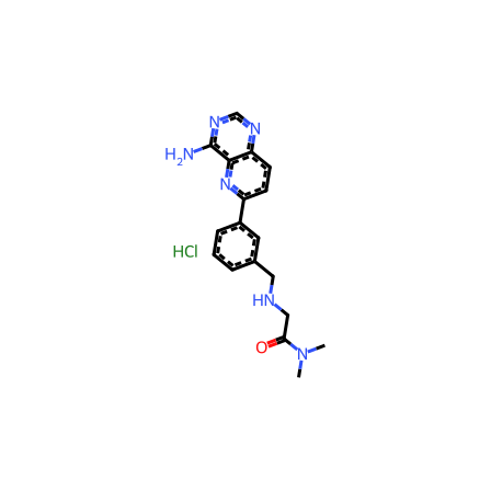 CN(C)C(=O)CNCc1cccc(-c2ccc3ncnc(N)c3n2)c1.Cl